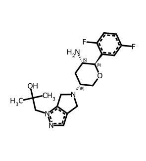 CC(C)(O)Cn1ncc2c1CN([C@H]1CO[C@H](c3cc(F)ccc3F)[C@@H](N)C1)C2